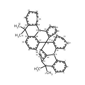 CC1(C)c2ccccc2N2c3cnccc3C3(c4ccncc4N4c5ccccc5C(C)(C)c5cccc3c54)c3cccc1c32